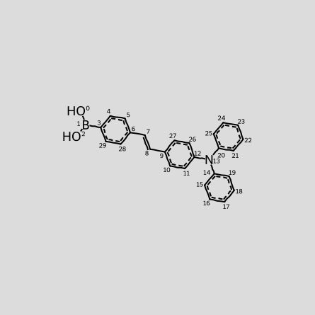 OB(O)c1ccc(C=Cc2ccc(N(c3ccccc3)c3ccccc3)cc2)cc1